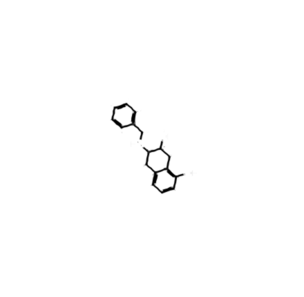 Oc1cccc2c1CC(O)C(NCc1ccccc1)C2